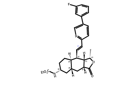 CCOC(=O)N[C@@H]1CC[C@@H]2[C@@H](C1)C[C@H]1C(=O)O[C@@H](C)[C@H]1[C@@H]2/C=C/c1ccc(-c2cccc(F)c2)cn1